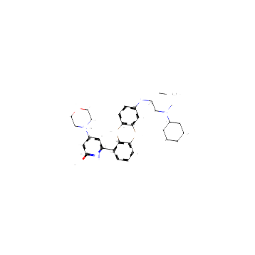 COC[C@H](CN(C)C1CCCCC1)Nc1ccc2c(c1)Sc1cccc(-c3cc(N4CCOCC4)cc(=O)[nH]3)c1S2